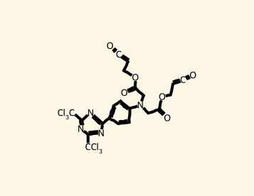 O=C=CCOC(=O)CN(CC(=O)OCC=C=O)c1ccc(-c2nc(C(Cl)(Cl)Cl)nc(C(Cl)(Cl)Cl)n2)cc1